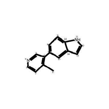 Cc1ccncc1-c1ccc2[nH]ccc2c1